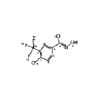 O/N=C(\Cl)c1ccc(Cl)c(C(F)(F)F)c1